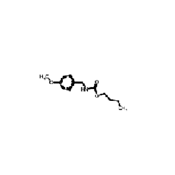 CCCCOC(=O)NCc1ccc(OC)cc1